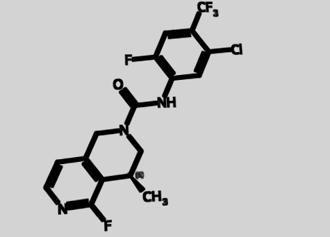 C[C@@H]1CN(C(=O)Nc2cc(Cl)c(C(F)(F)F)cc2F)Cc2ccnc(F)c21